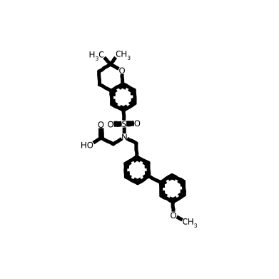 COc1cccc(-c2cccc(CN(CC(=O)O)S(=O)(=O)c3ccc4c(c3)CCC(C)(C)O4)c2)c1